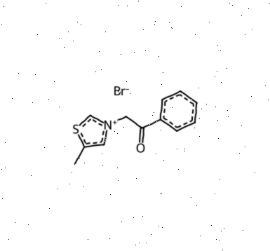 Cc1c[n+](CC(=O)c2ccccc2)cs1.[Br-]